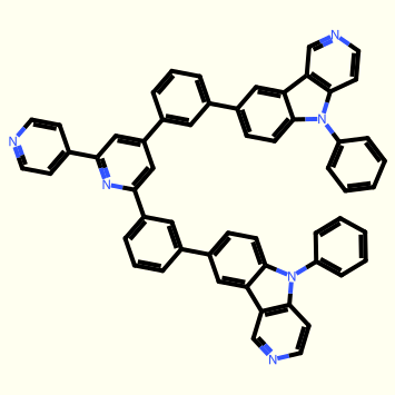 c1ccc(-n2c3ccncc3c3cc(-c4cccc(-c5cc(-c6ccncc6)nc(-c6cccc(-c7ccc8c(c7)c7cnccc7n8-c7ccccc7)c6)c5)c4)ccc32)cc1